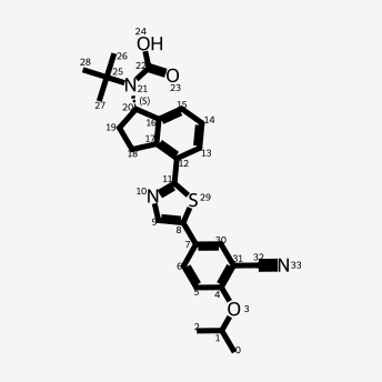 CC(C)Oc1ccc(-c2cnc(-c3cccc4c3CC[C@@H]4N(C(=O)O)C(C)(C)C)s2)cc1C#N